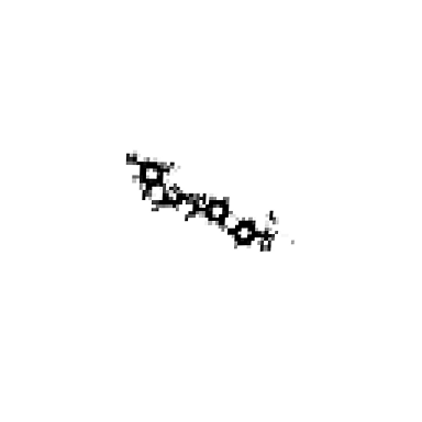 CCC(C)(C)c1ccc(Oc2cccc(C(=O)Nc3cc(=O)n(-c4c(Br)cc(Br)cc4Br)[nH]3)c2)cc1